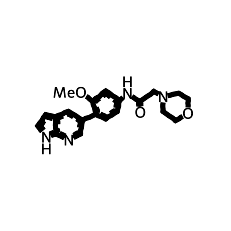 COc1cc(NC(=O)CN2CCOCC2)ccc1-c1cnc2[nH]ccc2c1